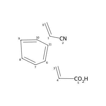 C=CC#N.C=CC(=O)O.c1ccccc1